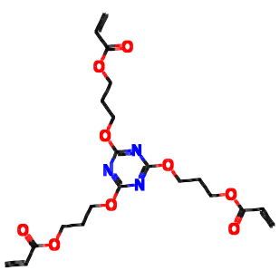 C=CC(=O)OCCCOc1nc(OCCCOC(=O)C=C)nc(OCCCOC(=O)C=C)n1